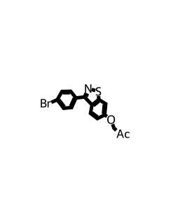 CC(=O)COc1ccc2c(-c3ccc(Br)cc3)nsc2c1